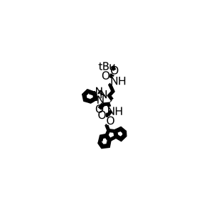 CC(C)(C)OC(=O)NCCCC[C@H](NC(=O)OCC1c2ccccc2-c2ccccc21)C(=O)n1nnc2ccccc21